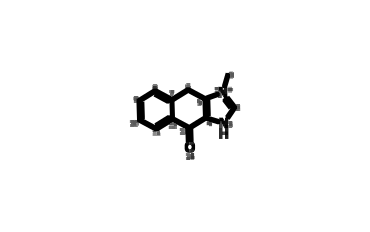 C[n+]1c[nH]c2c1Cc1ccccc1C2=O